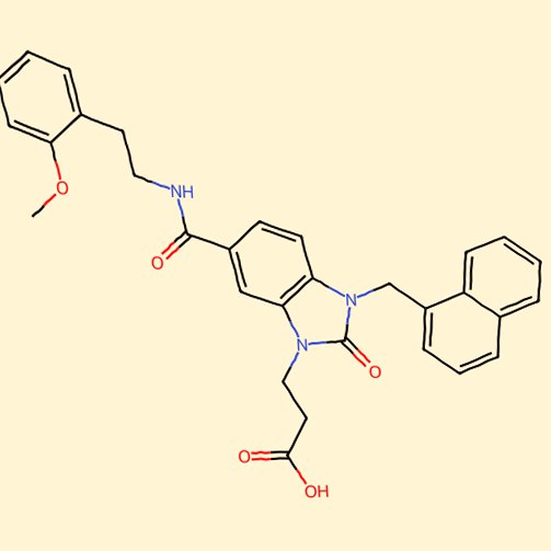 COc1ccccc1CCNC(=O)c1ccc2c(c1)n(CCC(=O)O)c(=O)n2Cc1cccc2ccccc12